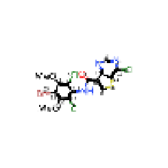 COc1c(Cl)c(NC(=O)c2csc3c(Cl)ncnc23)c(Cl)c(OC)c1Br